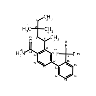 CCC(C)(C)CC(C)c1cc(-c2ccccc2C(F)(F)F)ccc1C(N)=O